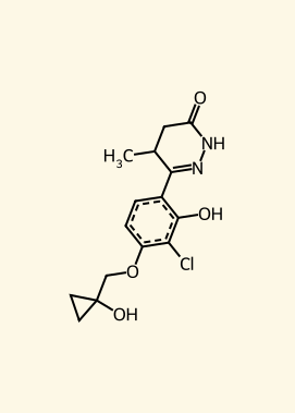 CC1CC(=O)NN=C1c1ccc(OCC2(O)CC2)c(Cl)c1O